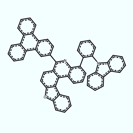 c1ccc(-n2c3ccccc3c3ccccc32)c(-c2cccc3c2nc(-c2ccc4c5ccccc5c5ccccc5c4c2)c2ccc4oc5ccccc5c4c23)c1